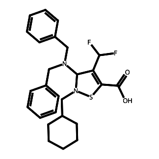 O=C(O)C1=C(C(F)F)C(N(Cc2ccccc2)Cc2ccccc2)N(CC2CCCCC2)S1